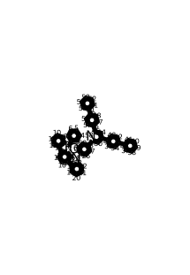 O=P1(c2ccccc2)c2ccccc2-c2ccc3c4ccccc4n(-c4ccc(-c5cc(-c6ccc(-c7ccccc7)cc6)cc(-c6ccc(-c7ccccc7)cc6)n5)cc4)c3c21